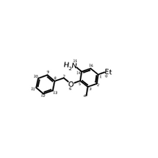 CCc1cc(C)c(OCc2ccccc2)c(N)c1